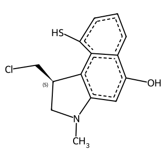 CN1C[C@@H](CCl)c2c1cc(O)c1cccc(S)c21